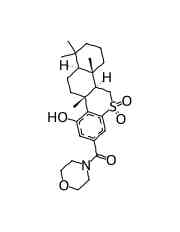 CC1(C)CCC[C@]2(C)[C@H]3CS(=O)(=O)c4cc(C(=O)N5CCOCC5)cc(O)c4[C@]3(C)CC[C@@H]12